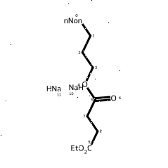 CCCCCCCCCCCCOC(=O)CCC(=O)OCC.[NaH].[NaH]